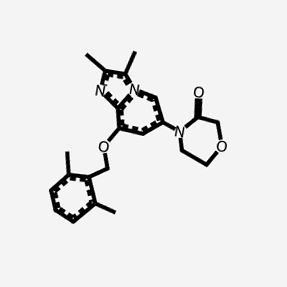 Cc1cccc(C)c1COc1cc(N2CCOCC2=O)cn2c(C)c(C)nc12